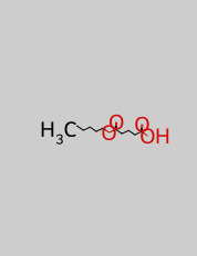 CCCCCCOC(=O)CCCC(=O)O